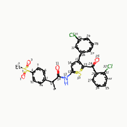 CCS(=O)(=O)c1ccc(C(C)C(=O)Nc2cc(-c3cccc(Cl)c3)c(C(=O)c3ccccc3Cl)s2)cc1